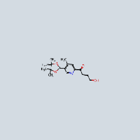 Cc1cc(C(=O)CCCO)ncc1B1OC(C)(C)C(C)(C)O1